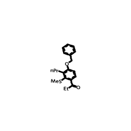 CCCc1c(OCc2ccccc2)ccc(C(=O)CC)c1SC